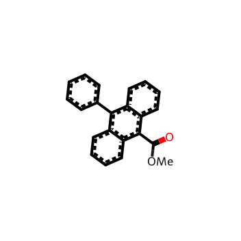 COC(=O)c1c2ccccc2c(-c2ccccc2)c2ccccc12